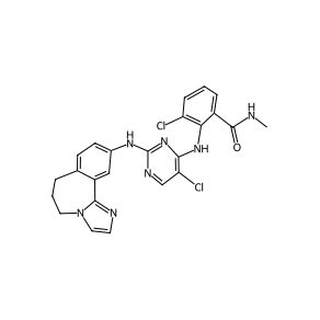 CNC(=O)c1cccc(Cl)c1Nc1nc(Nc2ccc3c(c2)-c2nccn2CCC3)ncc1Cl